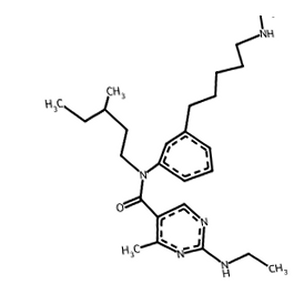 CCNc1ncc(C(=O)N(CCC(C)CC)c2cccc(CCCCCNC)c2)c(C)n1